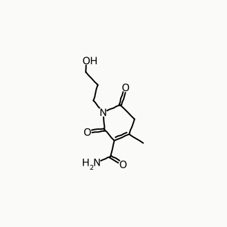 CC1=C(C(N)=O)C(=O)N(CCCO)C(=O)C1